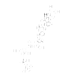 COC(=O)[C@H](CCC(=O)NCCOC(C)(C)OCCNC(=O)OCN1C(=O)C=CC1=O)NC(=O)c1ccc(N(Cc2cnc3nc(NC(=O)C(C)C)[nH]c(=O)c3n2)C(=O)C(F)(F)F)cc1